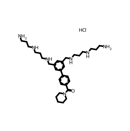 Cl.NCCCNCCCNCc1cc(CNCCCNCCCN)cc(-c2ccc(C(=O)N3CCCCC3)cc2)c1